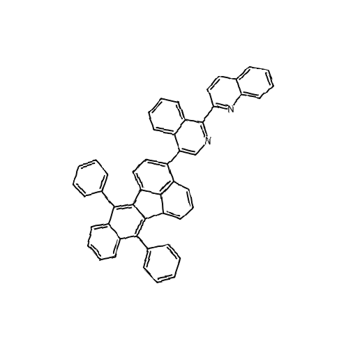 c1ccc(-c2c3c(c(-c4ccccc4)c4ccccc24)-c2ccc(-c4cnc(-c5ccc6ccccc6n5)c5ccccc45)c4cccc-3c24)cc1